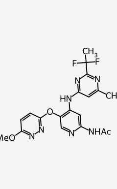 COc1ccc(Oc2cnc(NC(C)=O)cc2Nc2cc(C)nc(C(C)(F)F)n2)nn1